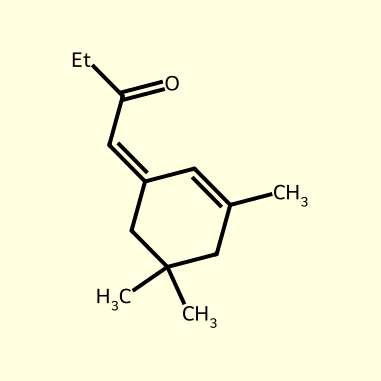 CCC(=O)/C=C1\C=C(C)CC(C)(C)C1